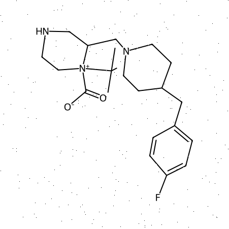 CC(C)(C)[N+]1(C(=O)[O-])CCNCC1CN1CCC(Cc2ccc(F)cc2)CC1